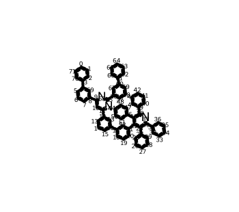 c1ccc(-c2cccc(-c3cc(-c4cccc(-c5cccc(-c6c(-c7ccccc7)c(-c7ccccc7)nc(-c7ccccc7)c6-c6ccccc6)c5)c4)nc(-c4cccc(-c5ccccc5)c4)n3)c2)cc1